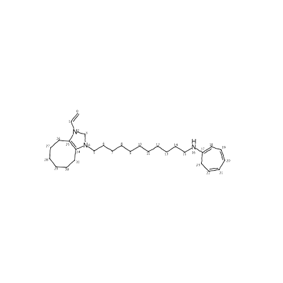 C=CN1CN(CCCCCCCCCCCNC2=CC=CC=CC2)C2=C1CCCCCC2